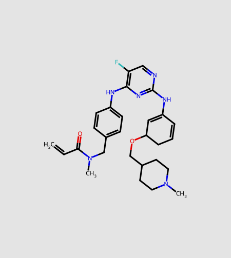 C=CC(=O)N(C)Cc1ccc(Nc2nc(NC3=CC(OCC4CCN(C)CC4)CC=C3)ncc2F)cc1